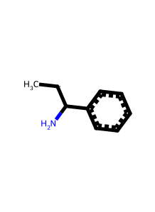 C[CH]C(N)c1ccccc1